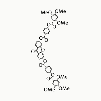 COc1cc(OC)c(C(=O)Oc2ccc(C(=O)Oc3ccc4c(=O)c5ccc(OC(=O)c6ccc(OC(=O)c7cc(OC)c(OC)cc7OC)cc6)cc5oc4c3)cc2)cc1OC